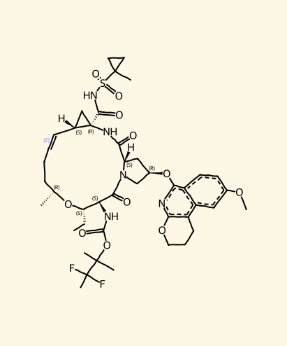 CC[C@@H]1O[C@H](C)CC/C=C\[C@@H]2C[C@@]2(C(=O)NS(=O)(=O)C2(C)CC2)NC(=O)[C@@H]2C[C@@H](Oc3nc4c(c5cc(OC)ccc35)CCCO4)CN2C(=O)[C@H]1NC(=O)OC(C)(C)C(C)(F)F